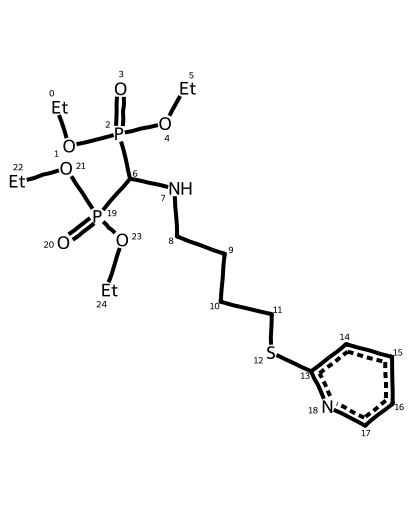 CCOP(=O)(OCC)C(NCCCCSc1ccccn1)P(=O)(OCC)OCC